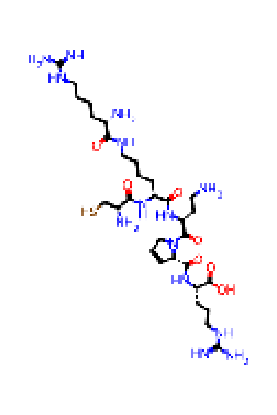 N=C(N)NCCCC[C@H](N)C(=O)NCCCC[C@H](NC(=O)[C@@H](N)CS)C(=O)N[C@@H](CCN)C(=O)N1CC=C[C@H]1C(=O)N[C@@H](CCCNC(=N)N)C(=O)O